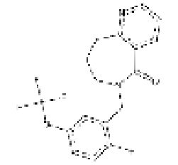 O=C1c2cccnc2CCCN1Cc1cc(OC(F)(F)F)ccc1F